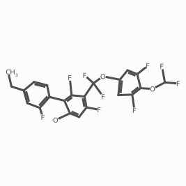 CCc1ccc(-c2c([O])cc(F)c(C(F)(F)Oc3cc(F)c(OC(F)F)c(F)c3)c2F)c(F)c1